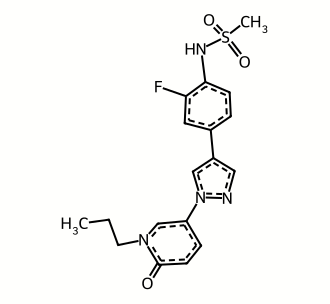 CCCn1cc(-n2cc(-c3ccc(NS(C)(=O)=O)c(F)c3)cn2)ccc1=O